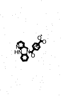 COC(=O)C12CCC(C(=O)N3Cc4cccnc4Nc4ccccc43)(CC1)CC2